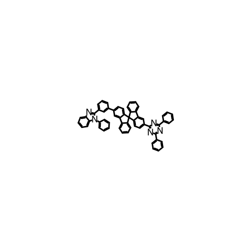 c1ccc(-c2nc(-c3ccccc3)nc(-c3ccc4c(c3)-c3ccccc3C43c4ccccc4-c4cc(-c5cccc(-c6nc7ccccc7n6-c6ccccc6)c5)ccc43)n2)cc1